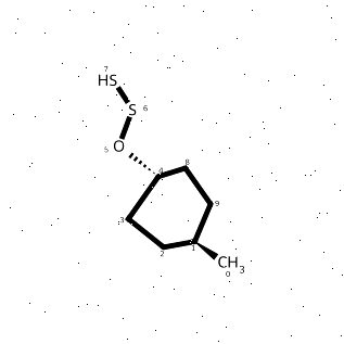 C[C@H]1CC[C@H](OSS)CC1